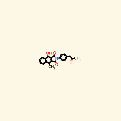 CC(=O)Cc1ccc(N2C(=O)c3c(c(O)c4ccccc4c3C)C2=O)cc1